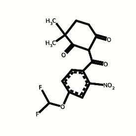 CC1(C)CCC(=O)C(C(=O)c2ccc(OC(F)F)cc2[N+](=O)[O-])C1=O